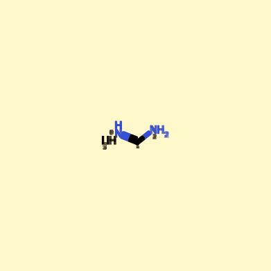 N=CN.[LiH]